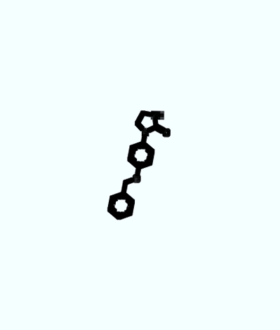 O=C1NCCN1c1ccc(OCc2ccccc2)cc1